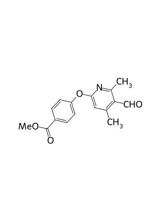 COC(=O)c1ccc(Oc2cc(C)c(C=O)c(C)n2)cc1